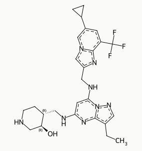 CCc1cnn2c(NCc3cn4cc(C5CC5)cc(C(F)(F)F)c4n3)cc(NC[C@H]3CCNC[C@@H]3O)nc12